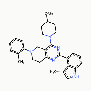 COC1CCN(c2nc(-c3cccc4[nH]cc(C)c34)nc3c2CN(c2ccccc2C)CC3)CC1